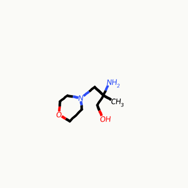 CC(N)(CO)CN1CCOCC1